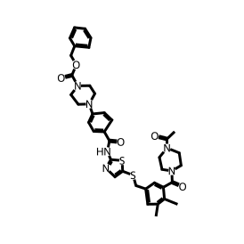 CC(=O)N1CCN(C(=O)c2cc(CSc3cnc(NC(=O)c4ccc(N5CCN(C(=O)OCc6ccccc6)CC5)cc4)s3)cc(C)c2C)CC1